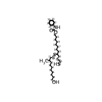 CC(CCCCCCCCO)CSSC(CCCCCCCCOC(=O)Nc1ccccc1)CSSS